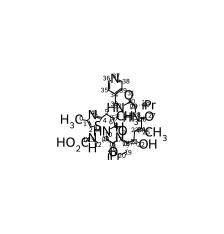 Cc1csc(C[C@H](C)C(=O)N[C@@H](CNC(=O)O)C(=O)N[C@@H](CC(C)C)[C@@H](O)C[C@@H](C)C(=O)N[C@H](C(=O)NCc2ccncc2)C(C)C)n1